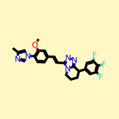 COc1cc(/C=C/c2nnc3n2CCCC3c2cc(F)c(F)c(F)c2)ccc1-n1cnc(C)c1